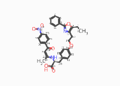 CCc1oc(-c2ccccc2)nc1CCOc1ccc(C[C@H](N/C(C)=C\C(=O)c2ccc([N+](=O)[O-])cc2)C(=O)O)cc1